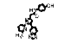 Cc1cccc(-n2nc(CC(=O)Nc3ccc(O)cc3)cc2-c2ccc3ncnn3c2)n1